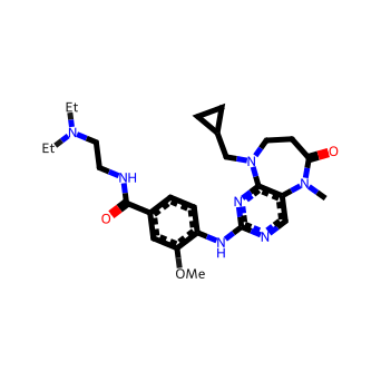 CCN(CC)CCNC(=O)c1ccc(Nc2ncc3c(n2)N(CC2CC2)CCC(=O)N3C)c(OC)c1